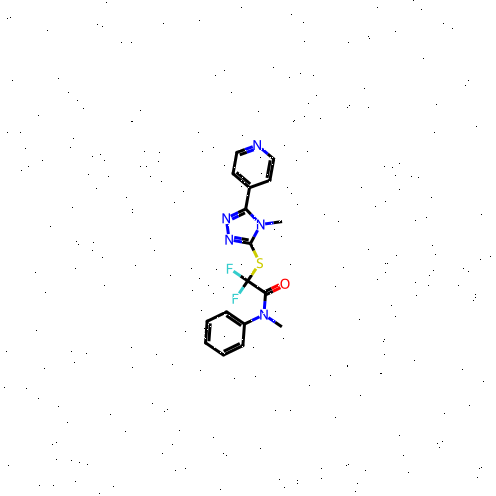 CN(C(=O)C(F)(F)Sc1nnc(-c2ccncc2)n1C)c1ccccc1